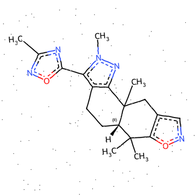 Cc1noc(-c2c3c(nn2C)C2(C)Cc4cnoc4C(C)(C)[C@@H]2CC3)n1